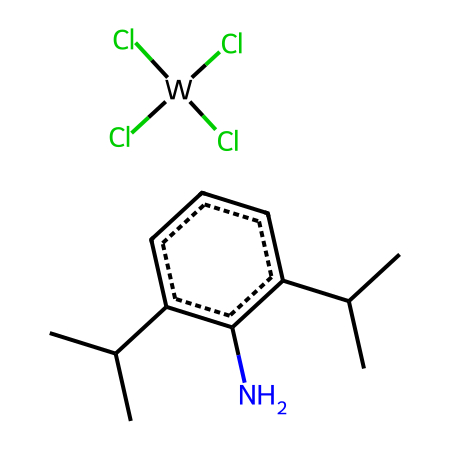 CC(C)c1cccc(C(C)C)c1N.[Cl][W]([Cl])([Cl])[Cl]